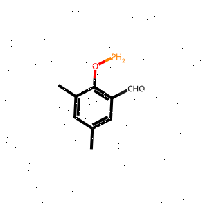 Cc1cc(C)c(OP)c(C=O)c1